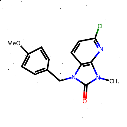 COc1ccc(Cn2c(=O)n(C)c3nc(Cl)ccc32)cc1